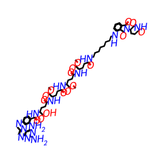 COC(=O)C(CCC(=O)NCCCCCCCCNc1cccc2c1C(=O)N(C1CCC(=O)NC1=O)C2=O)NC(=O)CCC(NC(=O)CCC(NC(=O)CCC(NC(=O)c1ccc(N(C)Cc2cnc3nc(N)nc(N)c3n2)cc1)C(=O)O)C(=O)OC)C(=O)OC